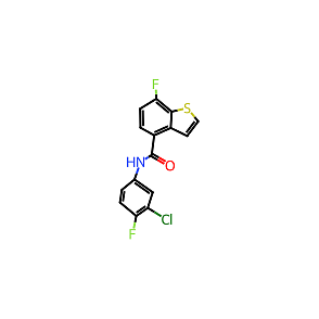 O=C(Nc1ccc(F)c(Cl)c1)c1ccc(F)c2sccc12